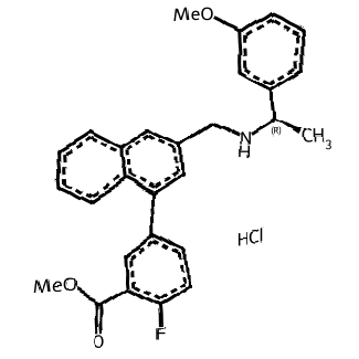 COC(=O)c1cc(-c2cc(CN[C@H](C)c3cccc(OC)c3)cc3ccccc23)ccc1F.Cl